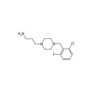 NCCCN1CCN(Cc2c(F)cccc2Cl)CC1